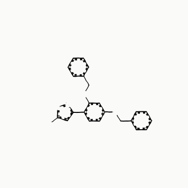 O=C(O)c1cc(-c2ccc(OCc3ccccc3)cc2OCc2ccccc2)no1